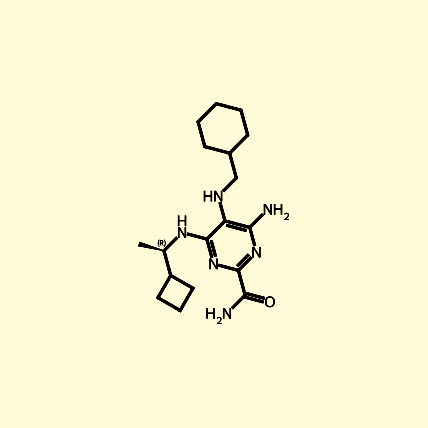 C[C@@H](Nc1nc(C(N)=O)nc(N)c1NCC1CCCCC1)C1CCC1